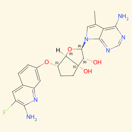 Cc1cn([C@@H]2O[C@@H]3[C@@H](Oc4ccc5cc(F)c(N)nc5c4)CC[C@]3(O)[C@H]2O)c2ncnc(N)c12